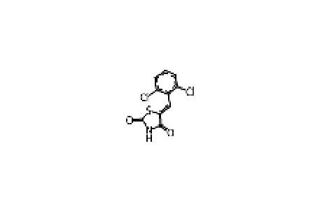 O=C1NC(=O)C(=Cc2c(Cl)cccc2Cl)S1